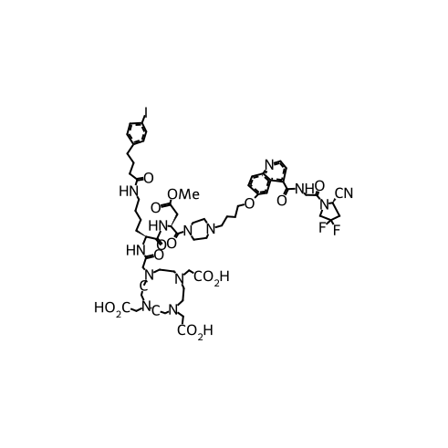 COC(=O)C[C@H](NC(=O)[C@H](CCCCNC(=O)CCCc1ccc(I)cc1)NC(=O)CN1CCN(CC(=O)O)CCN(CC(=O)O)CCN(CC(=O)O)CC1)C(=O)N1CCN(CCCCOc2ccc3nccc(C(=O)NCC(=O)N4CC(F)(F)C[C@@H]4C#N)c3c2)CC1